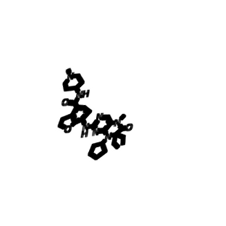 CCC1(CC)C(=O)N(C)c2cnc(Nc3ccc(C(=O)NC4CCN(C)CC4)c4c3OCC4)nc2N1C1CCCC1